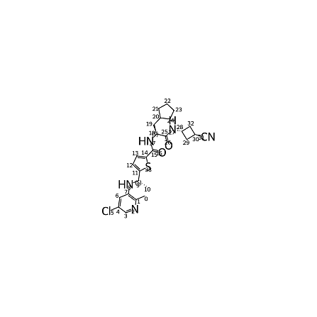 Cc1ncc(Cl)cc1N[C@@H](C)c1ccc(C(=O)N[C@@H](CC2CCCC2)C(=O)N[C@H]2C[C@H](C#N)C2)s1